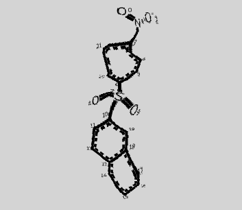 O=[N+]([O-])c1ccc(S(=O)(=O)c2ccc3ccccc3c2)cc1